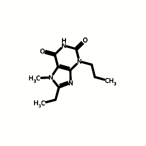 CCCn1c(=O)[nH]c(=O)c2c1nc(CC)n2C